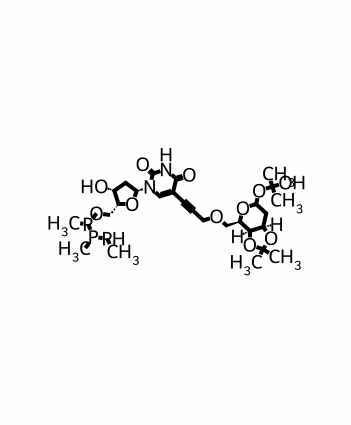 CPP(C)P(C)OC[C@H]1O[C@@H](n2cc(C#CCOC[C@H]3OC(OC(C)(C)O)C[C@H]4OC(C)(C)O[C@@H]34)c(=O)[nH]c2=O)C[C@H]1O